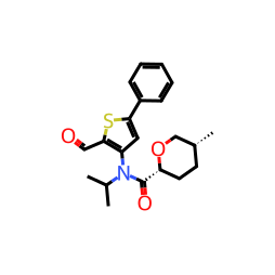 CC(C)N(C(=O)[C@H]1CC[C@@H](C)CO1)c1cc(-c2ccccc2)sc1C=O